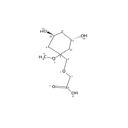 COC1(COCC(=O)O)C[C@@H](O)C[C@H](O)C1